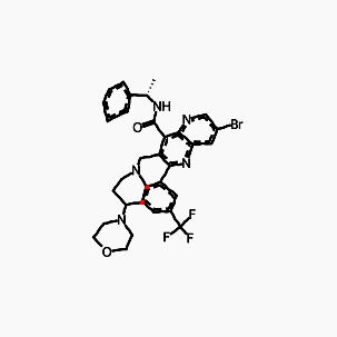 C[C@H](NC(=O)c1c(CN2CCC(N3CCOCC3)CC2)c(-c2cccc(C(F)(F)F)c2)nc2cc(Br)cnc12)c1ccccc1